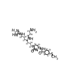 CSc1ccc(C(=O)Nc2ccn(CCCC(CCCNC(=N)N)NCCCN)c(=O)n2)cc1